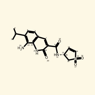 CC(C)c1ccc2cc(C(=O)N[C@@H]3C=CS(=O)(=O)C3)c(=O)[nH]c2c1N